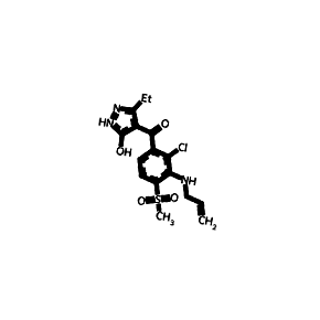 C=CCNc1c(S(C)(=O)=O)ccc(C(=O)c2c(CC)n[nH]c2O)c1Cl